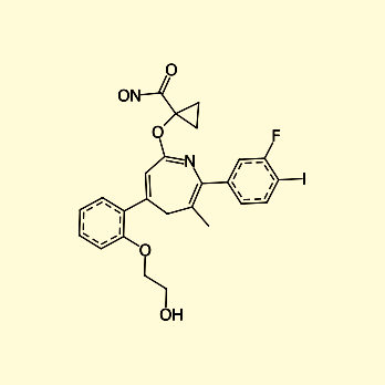 CC1=C(c2ccc(I)c(F)c2)N=C(OC2(C(=O)N=O)CC2)C=C(c2ccccc2OCCO)C1